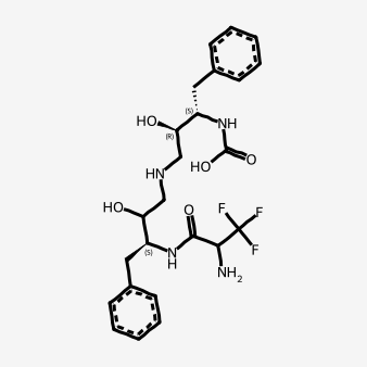 NC(C(=O)N[C@@H](Cc1ccccc1)C(O)CNC[C@@H](O)[C@H](Cc1ccccc1)NC(=O)O)C(F)(F)F